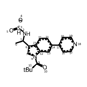 CC(N[SH](=O)=O)c1cn(C(=O)C(C)(C)C)c2cc(-c3ccncc3)ccc12